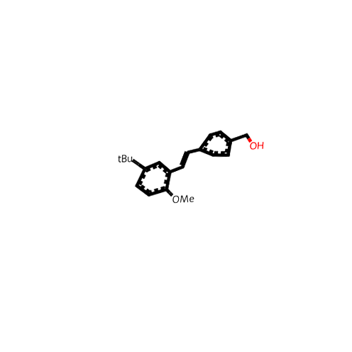 COc1ccc(C(C)(C)C)cc1C=Cc1ccc(CO)cc1